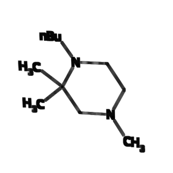 CCCCN1CCN(C)CC1(C)C